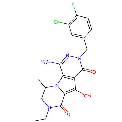 CCN1CC(C)n2c(c(O)c3c(=O)n(Cc4ccc(F)c(Cl)c4)nc(N)c32)C1=O